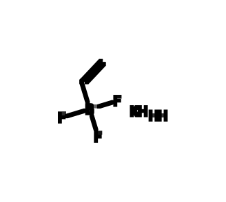 C=C[B-](F)(F)F.[HH].[KH]